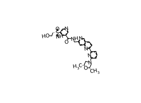 C[C@@H]1CN(c2cccc(-c3ccc4cnc(CNC(=O)c5cncc([S@@](=N)(=O)CCO)c5)cc4n3)n2)C[C@H](C)O1